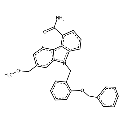 COCc1c[c]c2c3c(C(N)=O)cccc3n(Cc3ccccc3OCc3ccccc3)c2c1